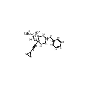 CC(C)(C)[S+]([O-])NC1(C#CC2CC2)CCN(Cc2ccccc2)CC1